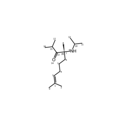 CC(C)=CCCC[C@@](C)(NC(C)C)C(=O)C(C)C